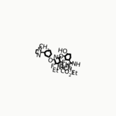 CCOC(=O)C(C)(C)N(CC)c1c(F)c(Oc2cccc(C3=NCCN3C)c2)nc(Oc2cc(C(=N)N)ccc2O)c1F